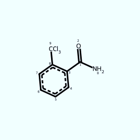 NC(=O)c1ccccc1C(Cl)(Cl)Cl